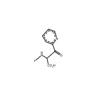 O=C(O)C(NF)C(=O)c1ccccn1